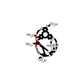 O=C(O)COc1cc2c3cc1OCCCCCOc1cc4c(cc1OCC(=O)O)Cc1cc5c(OCC(=O)O)cc1Cc1cc(c(OCC(=O)O)cc1C4)OCCCCCOc1cc(c(cc1OCC(=O)O)Cc1cc(c(OCC(=O)O)cc1C3)OCCCCCO5)C2